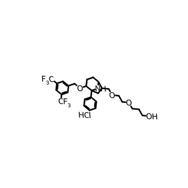 Cl.OCCCOCCOCC1CC2(c3ccccc3)NC1CCC2OCc1cc(C(F)(F)F)cc(C(F)(F)F)c1